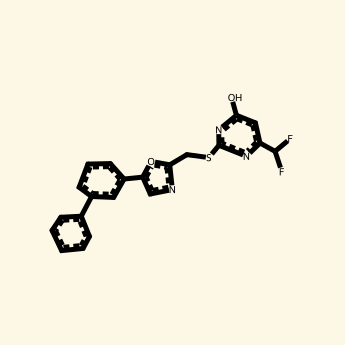 Oc1cc(C(F)F)nc(SCc2ncc(-c3cccc(-c4ccccc4)c3)o2)n1